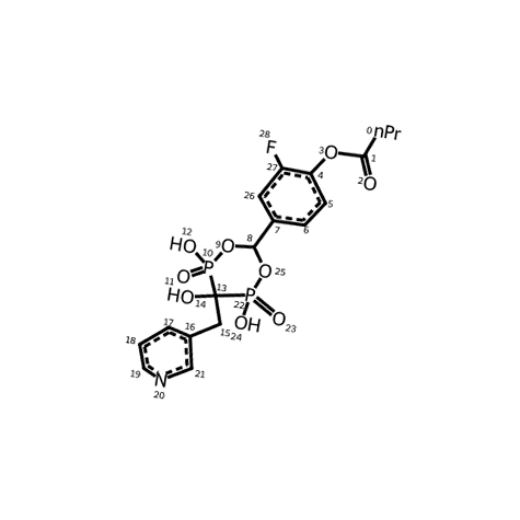 CCCC(=O)Oc1ccc(C2OP(=O)(O)C(O)(Cc3cccnc3)P(=O)(O)O2)cc1F